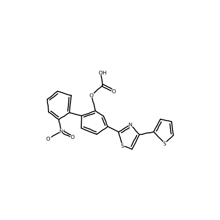 O=C(O)Oc1cc(-c2nc(-c3cccs3)cs2)ccc1-c1ccccc1[N+](=O)[O-]